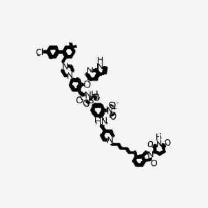 CC1(C)CCC(CN2CCN(c3ccc(C(=O)NS(=O)(=O)c4ccc(NCC5CCN(CCCCCCc6cccc7c6CN(C6CCC(=O)NC6=O)C7=O)CC5)c([N+](=O)[O-])c4)c(Oc4cnc5[nH]ccc5c4)c3)CC2)=C(c2ccc(Cl)cc2)C1